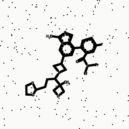 CCN(C(=O)c1cc(F)ccc1-c1cc(C2CN(C(CCC3OCCO3)C3(C)COC3)C2)cn2c(C)ncc12)C(C)C